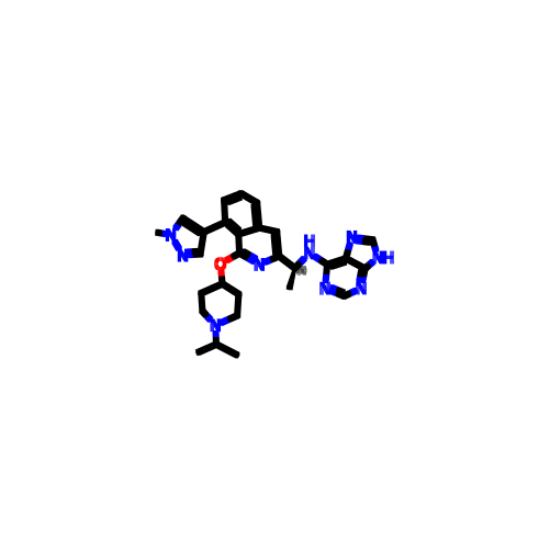 CC(C)N1CCC(Oc2nc([C@H](C)Nc3ncnc4[nH]cnc34)cc3cccc(-c4cnn(C)c4)c23)CC1